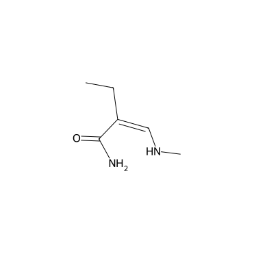 CCC(=CNC)C(N)=O